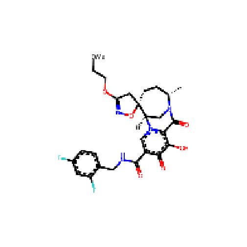 COCCOC1=NO[C@@]2(CC[C@H](C)N3C[C@H]2n2cc(C(=O)NCc4ccc(F)cc4F)c(=O)c(O)c2C3=O)C1